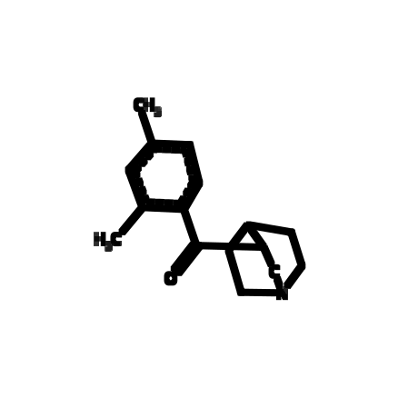 Cc1ccc(C(=O)C2CN3CCC2CC3)c(C)c1